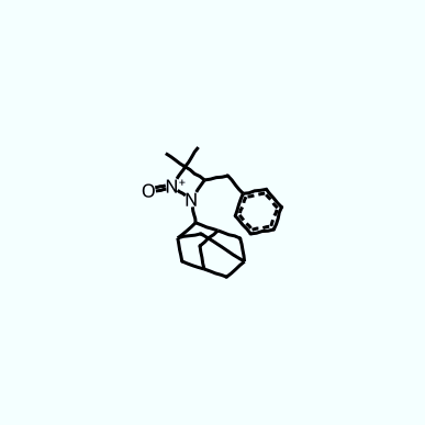 CC1(C)C(Cc2ccccc2)N(C2C3CC4CC(C3)CC2C4)[N+]1=O